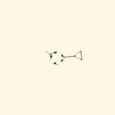 Cc1nsc(C2CC2)n1